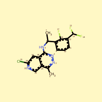 Cc1nnc(NC(C)c2cccc(C(F)F)c2F)c2cc(Cl)ncc12